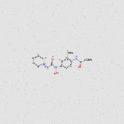 COC(=O)Nc1ccc(N(O)C(=O)C[n+]2ccccc2)cc1OC